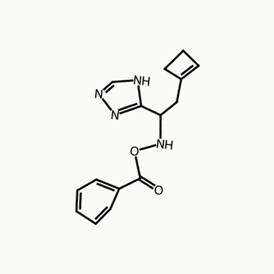 O=C(ONC(CC1=CCC1)c1nnc[nH]1)c1ccccc1